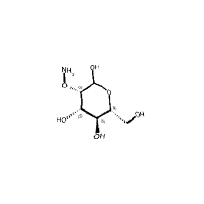 NO[C@@H]1C(O)O[C@H](CO)[C@@H](O)[C@@H]1O